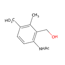 CC(=O)Nc1ccc(C(=O)O)c(C)c1CO